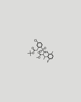 COC(=O)C(NS(=O)(=O)c1ccc(Cl)cc1CC(=O)OC(C)(C)C)C(C)c1c(F)ccc(C)c1C